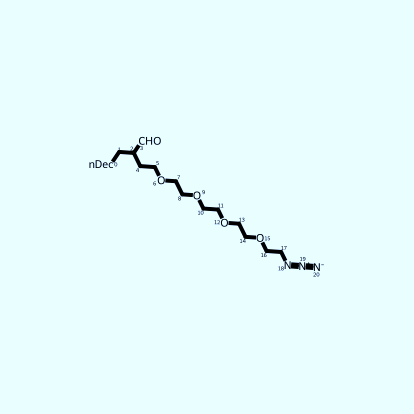 CCCCCCCCCCC[C](C=O)CCOCCOCCOCCOCCN=[N+]=[N-]